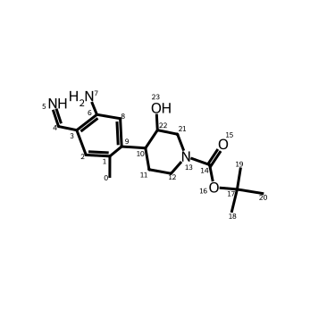 Cc1cc(C=N)c(N)cc1C1CCN(C(=O)OC(C)(C)C)CC1O